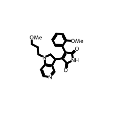 COCCCN1CC(C2=C(c3ccccc3OC)C(=O)NC2=O)c2cnccc21